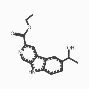 CCOC(=O)c1cc2c(cn1)[nH]c1ccc(C(C)O)cc12